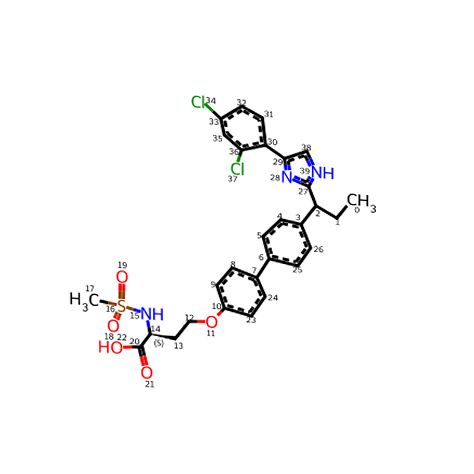 CCC(c1ccc(-c2ccc(OCC[C@H](NS(C)(=O)=O)C(=O)O)cc2)cc1)c1nc(-c2ccc(Cl)cc2Cl)c[nH]1